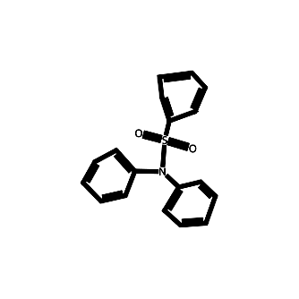 O=S(=O)(c1[c]cccc1)N(c1ccccc1)c1ccccc1